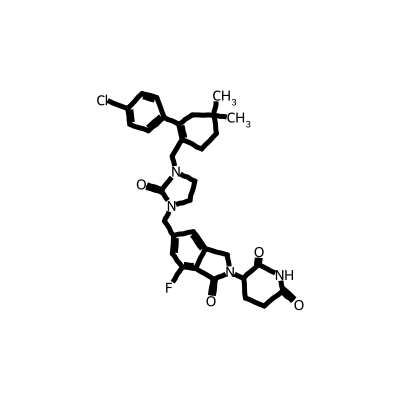 CC1(C)CCC(CN2CCN(Cc3cc(F)c4c(c3)CN(C3CCC(=O)NC3=O)C4=O)C2=O)=C(c2ccc(Cl)cc2)C1